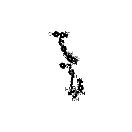 Cc1ncsc1-c1ccc([C@H](C)NC(=O)[C@@H]2C[C@@H](O)CN2C(=O)[C@@H](NC(=O)CCCCCC(=O)N2CCN(CC[C@H](CSc3ccccc3)Nc3ccc(S(=O)(=O)NC(=O)c4ccc(N5CCN(CC6=C(c7ccc(Cl)cc7)CCC7(C6)CC7(F)F)CC5)cc4)cc3S(=O)(=O)C(F)(F)F)CC2)C(C)(C)C)cc1